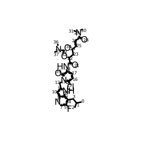 CC(C)Cc1c(F)cnc2cc(Cn3c(Cl)ccc(NC(=O)C(CCC=CC(=O)N(C)C)OC(=O)N(C)C)c3=O)[nH]c12